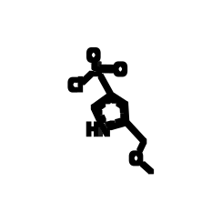 COCc1cc(S(=O)(=O)Cl)c[nH]1